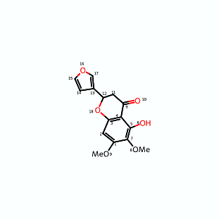 COc1cc2c(c(O)c1OC)C(=O)CC(c1ccoc1)O2